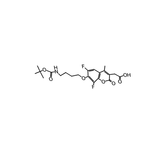 Cc1c(CC(=O)O)c(=O)oc2c(F)c(OCCCCNC(=O)OC(C)(C)C)c(F)cc12